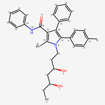 CC(=O)C[C@H](O)C[C@H](O)CCn1c(-c2ccc(C)cc2)c(-c2ccccc2)c(C(=O)Nc2ccccc2)c1C(C)C